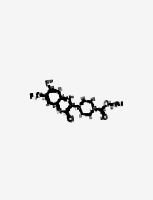 CC(C)(C)OC(=O)N1CCN(c2nc3cc(F)c(C(F)(F)F)cc3nc2Cl)CC1